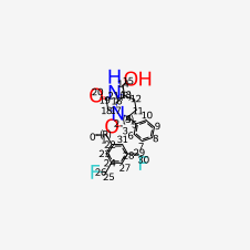 C[C@@H](OC[C@@]1(c2ccccc2)CC[C@]2(CO)CN1CC(=O)N2)c1cc(CF)cc(CF)c1